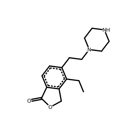 CCc1c(CCN2CCNCC2)ccc2c1COC2=O